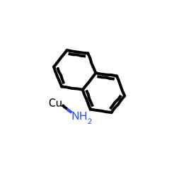 [NH2][Cu].c1ccc2ccccc2c1